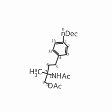 CCCCCCCCCCc1ccc(CCC(C)(COC(C)=O)NC(C)=O)cc1